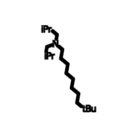 CC(C)CN(CCCCCCCCC(C)(C)C)CC(C)C